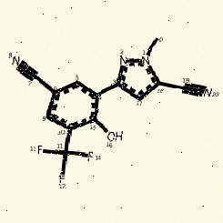 Cn1nc(-c2cc(C#N)cc(C(F)(F)F)c2O)cc1C#N